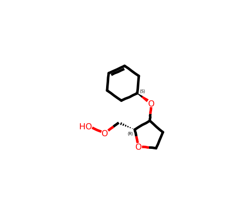 OOC[C@H]1OCCC1O[C@@H]1CC=CCC1